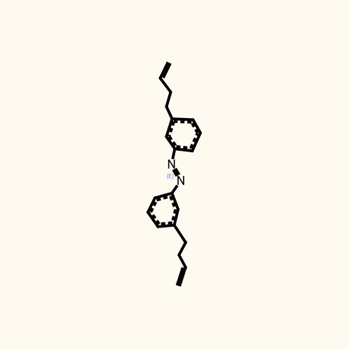 C=CCCc1cccc(/N=N/c2cccc(CCC=C)c2)c1